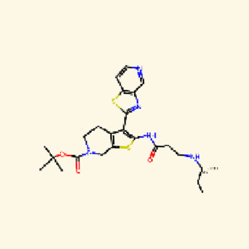 CC[C@@H](C)NCCC(=O)Nc1sc2c(c1-c1nc3cnccc3s1)CCN(C(=O)OC(C)(C)C)C2